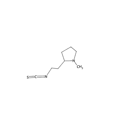 CN1CCCC1CCN=C=S